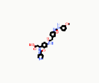 COc1cccc(Nc2nc3ccc(CC(=O)Nc4ccc(C(CC(=O)O)NC(=O)c5ccncc5)cc4)cc3o2)c1